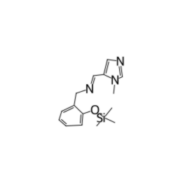 Cn1cncc1C=NCc1ccccc1O[Si](C)(C)C